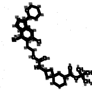 CC(C)(C)OC(=O)N1CCCC2(CC(NC(=O)OCCc3c(Cl)cc4c(cnn4C4CCCCO4)c3Br)C2)C1